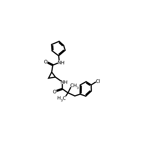 CC(C)(Cc1ccc(Cl)cc1)C(=O)NC1CC1C(=O)Nc1ccccc1